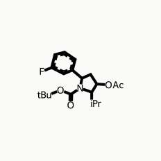 CC(=O)OC1CC(c2cccc(F)c2)N(C(=O)OC(C)(C)C)C1C(C)C